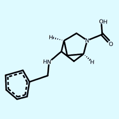 O=C(O)N1C[C@H]2C[C@@H]1CC2NCc1ccccc1